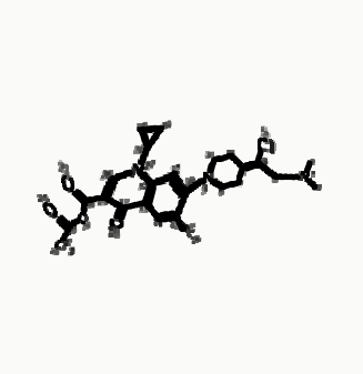 CN(C)CC(Cl)=C1CCN(c2cc3c(cc2F)c(=O)c(C(=O)OC(=O)C(F)(F)F)cn3C2CC2)CC1